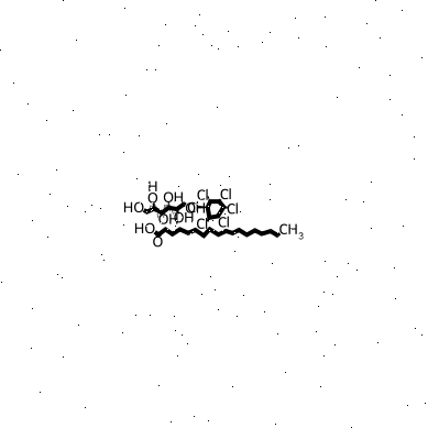 CCCCCCCCCCCCCCCCCC(=O)O.Cl[C@H]1[C@H](Cl)[C@@H](Cl)[C@@H](Cl)[C@H](Cl)[C@H]1Cl.OC[C@@H](O)[C@H](O)[C@H](O)[C@@H](O)CO